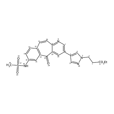 CCOC(=O)CCn1cc(-c2cnc3ccc4ccc(NS(C)(=O)=O)cc4c(=O)c3c2)cn1